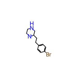 Brc1ccc(CCC2CNCC[N]2)cc1